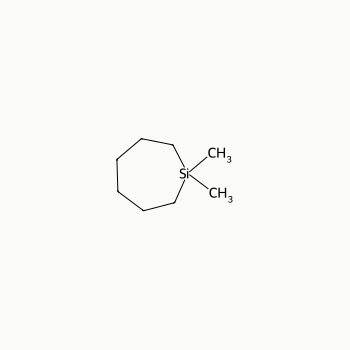 C[Si]1(C)CCCCCC1